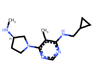 CN[C@@H]1CCN(c2ncnc(NCC3CC3)c2C)C1